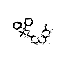 C[C@H](OC(=O)[C@H](C)OC(=O)[C@H](C)OC(=O)[C@H](C)O[Si](c1ccccc1)(c1ccccc1)C(C)(C)C)C(=O)O